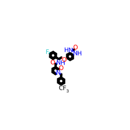 O=C(NC(COc1ccc2[nH]c(=O)[nH]c2c1)c1ccc(F)cc1)c1cccn(Cc2ccc(C(F)(F)F)cc2)c1=O